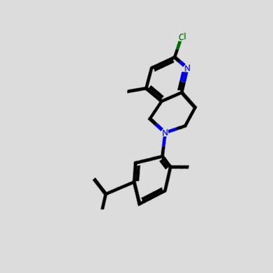 Cc1ccc(C(C)C)cc1N1CCc2nc(Cl)cc(C)c2C1